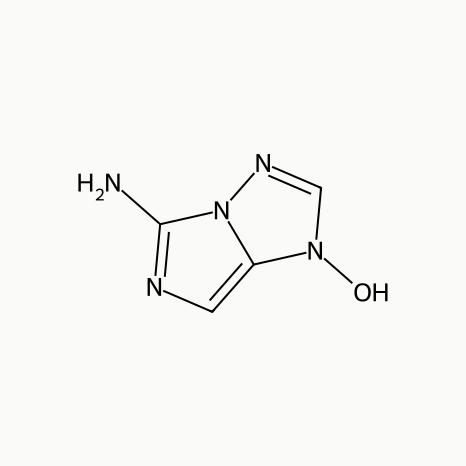 Nc1ncc2n(O)cnn12